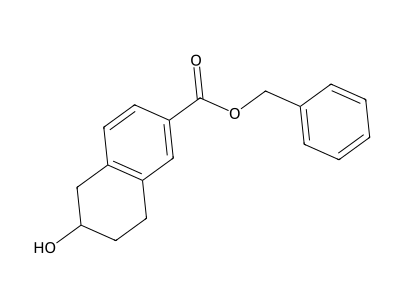 O=C(OCc1ccccc1)c1ccc2c(c1)CCC(O)C2